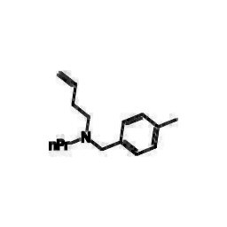 C=CCCN(CCC)Cc1ccc(C)cc1